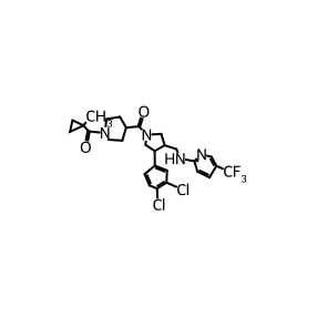 CC1(C(=O)N2CCC(C(=O)N3CC(CNc4ccc(C(F)(F)F)cn4)C(c4ccc(Cl)c(Cl)c4)C3)CC2)CC1